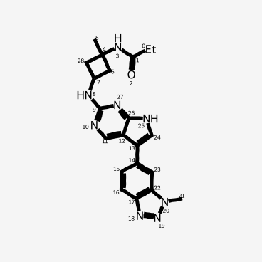 CCC(=O)NC1(C)CC(Nc2ncc3c(-c4ccc5nnn(C)c5c4)c[nH]c3n2)C1